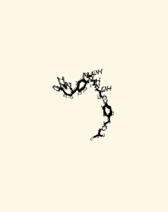 CC(C)COCCc1ccc(OCC(O)CNCCn2c(O)nc3cc(C4=NNC(=O)CC4)ccc32)cc1